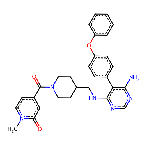 Cn1ccc(C(=O)N2CCC(CNc3ncnc(N)c3-c3ccc(Oc4ccccc4)cc3)CC2)cc1=O